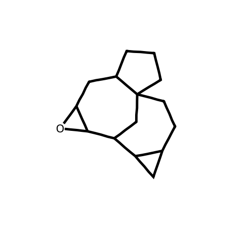 C1CC2CC3OC3C3CC2(C1)CCC1CC13